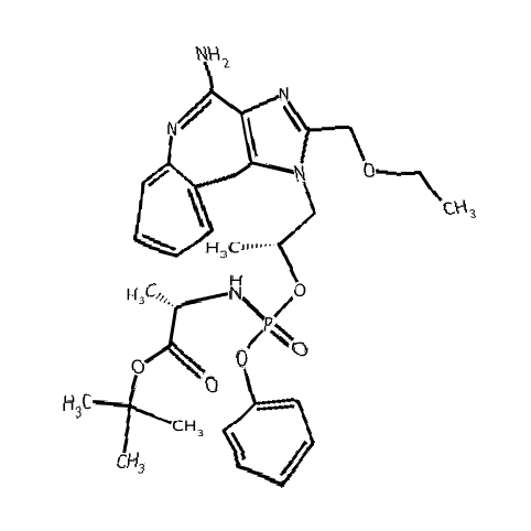 CCOCc1nc2c(N)nc3ccccc3c2n1C[C@@H](C)OP(=O)(N[C@@H](C)C(=O)OC(C)(C)C)Oc1ccccc1